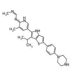 C/N=C\N=c1/[nH]cc(-c2[nH]c3cc(-c4ccc(N5CCNCC5)cc4)sc3c2C(C)C)cc1C